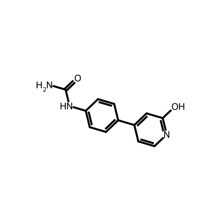 NC(=O)Nc1ccc(-c2ccnc(O)c2)cc1